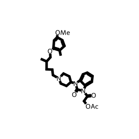 COc1ccc(C)c(OCC(C)CCCN2CCC(n3c(=O)n(C(=O)COC(C)=O)c4ccccc43)CC2)c1